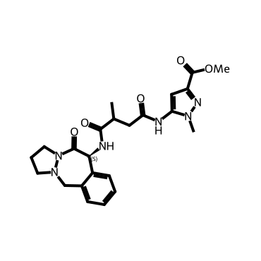 COC(=O)c1cc(NC(=O)CC(C)C(=O)N[C@@H]2C(=O)N3CCCN3Cc3ccccc32)n(C)n1